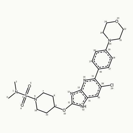 CN(C)S(=O)(=O)N1CCC(Oc2nc3nc(-c4ccc(N5CCOCC5)cc4)c(Cl)cc3[nH]2)CC1